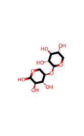 OC1OC[C@@H](O[C@@H]2OC[C@@H](O)[C@H](O)[C@H]2O)[C@H](O)[C@H]1O